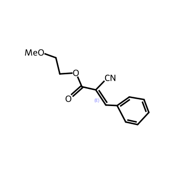 COCCOC(=O)/C(C#N)=C/c1ccccc1